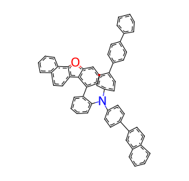 c1ccc(-c2ccc(-c3ccc(N(c4ccc(-c5ccc6ccccc6c5)cc4)c4ccccc4-c4cccc5oc6c7ccccc7ccc6c45)cc3)cc2)cc1